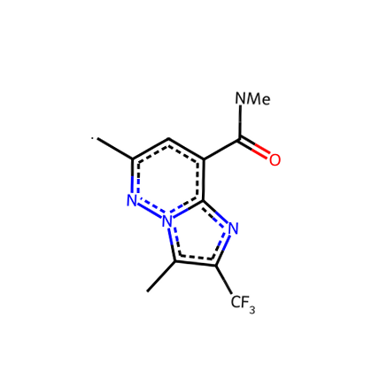 [CH2]c1cc(C(=O)NC)c2nc(C(F)(F)F)c(C)n2n1